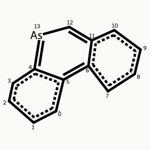 [c]1cccc2c1=c1ccccc1=C[As]=2